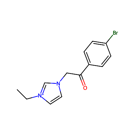 CC[n+]1ccn(CC(=O)c2ccc(Br)cc2)c1